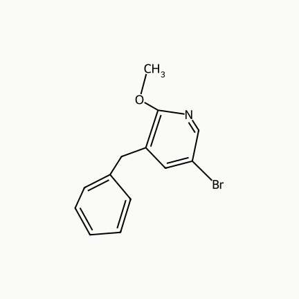 COc1ncc(Br)cc1Cc1ccccc1